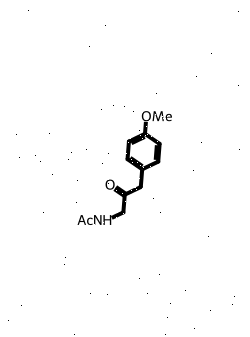 COc1ccc(CC(=O)CNC(C)=O)cc1